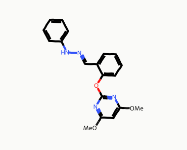 COc1cc(OC)nc(Oc2ccccc2C=NNc2ccccc2)n1